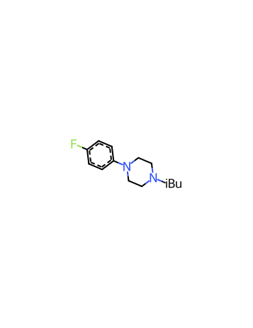 [CH2]C(CC)N1CCN(c2ccc(F)cc2)CC1